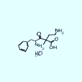 CC(CCN)(C(=O)O)C(=O)C(N)Cc1ccccc1.Cl